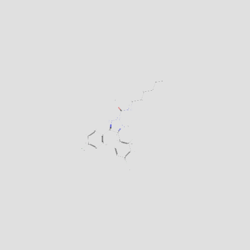 CCCCCCNC(=O)n1nc(-c2ccc(Cl)cc2)c(-c2ccc(Cl)cc2Cl)n1